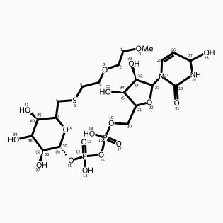 COCCOCCSCC1O[C@H](OP(=O)(O)OP(=O)(O)OCC2OC(N3C=CC(O)NC3=O)[C@H](O)[C@@H]2O)[C@@H](O)C(O)[C@H]1O